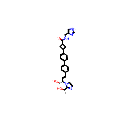 C[C@H](O)c1nccn1[C@@H](/C=C/c1ccc(-c2ccc(C3CC(C(=O)NCc4c[nH]cn4)C3)cc2)cc1)CO